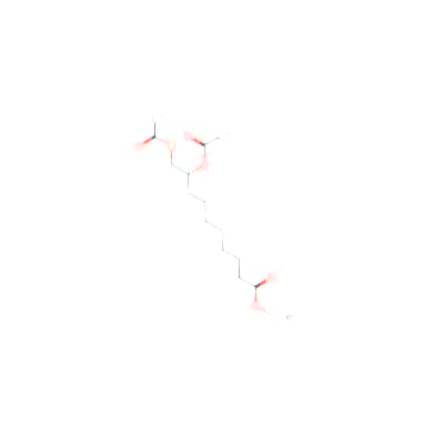 CCCCCCCCCCOC(=O)CCCCCCCC(COC(=O)CC)OC(=O)CC